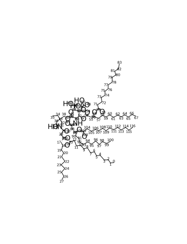 CCCCCCCCCCCCCC(=O)O[C@H](CCCCCCCCCCC)CC(=O)NCC(CC)(CO)CO[C@H]1OC(CO)[C@@H](OP(=O)(O)O)C(OC(=O)C[C@@H](CCCCCCCCCCC)OC(=O)CCCCCCCCCCCCC)[C@@H]1NC(=O)C[C@@H](CCCCCCCCCCC)OC(=O)CCCCCCCCCCCCC